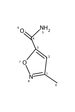 Cc1cc(C(N)=O)on1